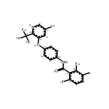 Cc1ccc(F)c(C(=O)Nc2ccc(Oc3cc(F)cnc3C(F)(F)F)cc2)c1F